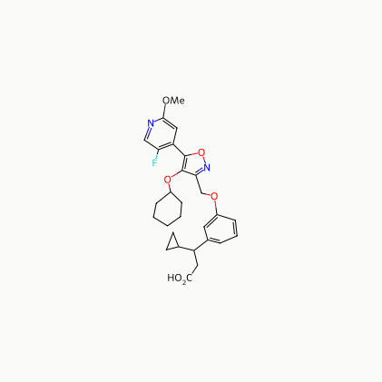 COc1cc(-c2onc(COc3cccc(C(CC(=O)O)C4CC4)c3)c2OC2CCCCC2)c(F)cn1